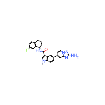 Cn1cc(C(=O)N[C@H]2CCCc3ccc(F)cc32)c2cc(-c3ccn4nc(N)nc4c3)ccc21